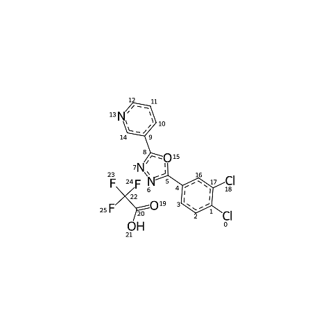 Clc1ccc(-c2nnc(-c3cccnc3)o2)cc1Cl.O=C(O)C(F)(F)F